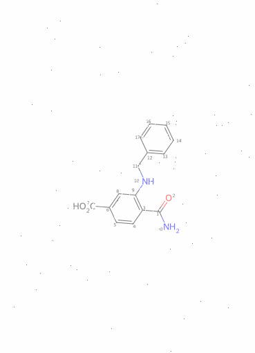 NC(=O)c1ccc(C(=O)O)cc1NCc1ccccc1